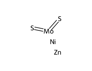 [Ni].[S]=[Mo]=[S].[Zn]